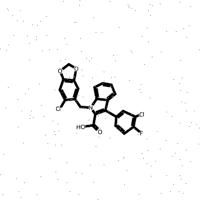 O=C(O)c1c(-c2ccc(F)c(Cl)c2)c2ccccc2n1Cc1cc2c(cc1Cl)OCO2